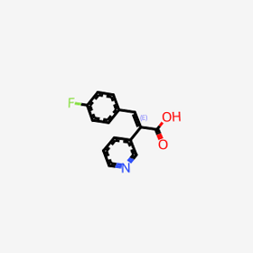 O=C(O)/C(=C/c1ccc(F)cc1)c1cccnc1